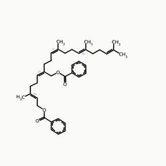 CC(C)=CCC/C(C)=C/CC/C(C)=C\CC/C(=C/CC/C(C)=C/COC(=O)c1ccccc1)COC(=O)c1ccccc1